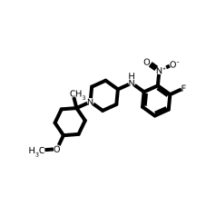 COC1CCC(C)(N2CCC(Nc3cccc(F)c3[N+](=O)[O-])CC2)CC1